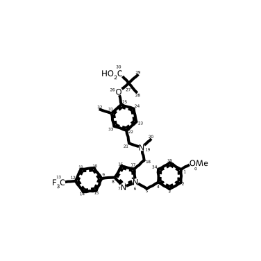 COc1ccc(Cn2nc(-c3ccc(C(F)(F)F)cc3)cc2CN(C)Cc2ccc(OC(C)(C)C(=O)O)c(C)c2)cc1